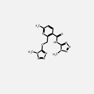 Cn1nnnc1NC(=O)c1ccc(C(F)(F)F)nc1COc1nnnn1C